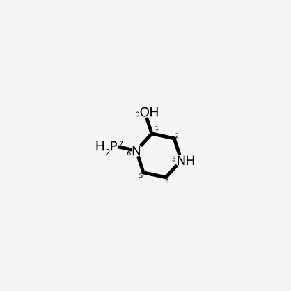 OC1CNCCN1P